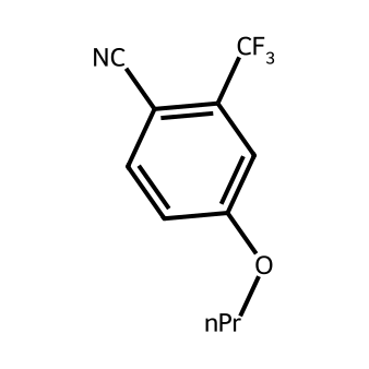 CCCOc1ccc(C#N)c(C(F)(F)F)c1